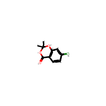 CC1(C)OC(=O)c2ccc(Cl)cc2O1